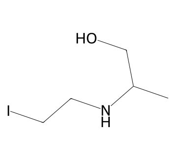 CC(CO)NCCI